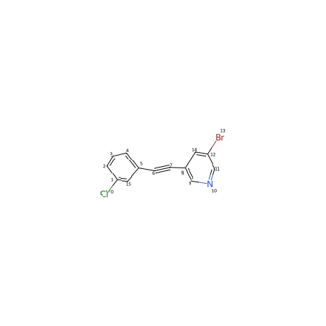 Clc1cccc(C#Cc2cncc(Br)c2)c1